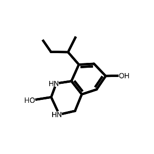 CCC(C)c1cc(O)cc2c1NC(O)NC2